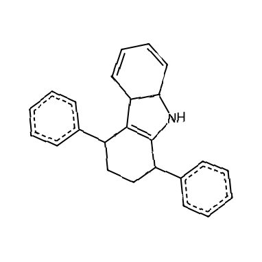 C1=CC2NC3=C(C(c4ccccc4)CCC3c3ccccc3)C2C=C1